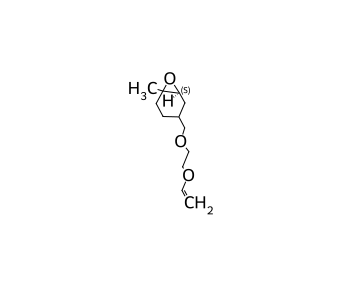 C=COCCOCC1CCC2(C)O[C@H]2C1